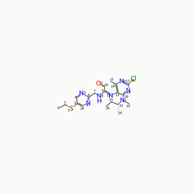 CCSc1cnc(CN/C(C=O)=N/c2c(C)nc(Cl)nc2N(C)[C@H](C)CC)nc1